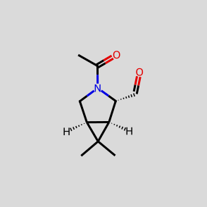 CC(=O)N1C[C@H]2[C@@H]([C@H]1C=O)C2(C)C